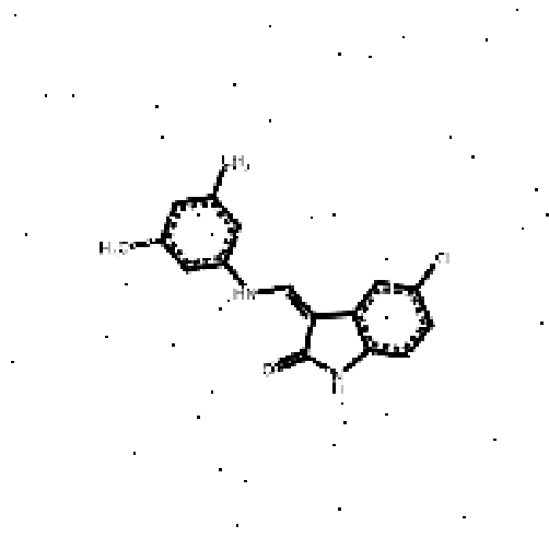 Cc1cc(C)cc(NC=C2C(=O)Nc3ccc(Cl)cc32)c1